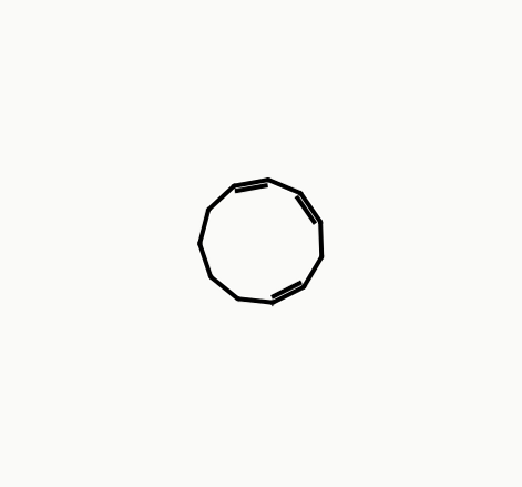 [C]1=C\C/C=C\C=C/CCCC/1